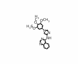 COc1cc(-n2cnc(Nc3ncnc4ccccc34)c2)cc(OC)c1OC